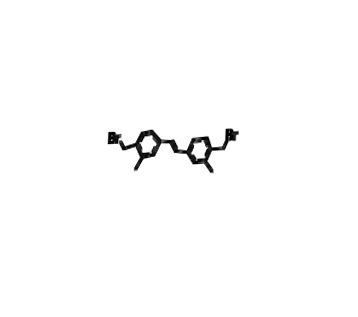 Cc1cc(C=Cc2ccc(CBr)c(C)c2)ccc1CBr